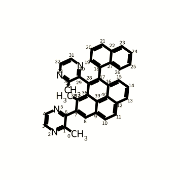 Cc1nccnc1-c1cc2ccc3cccc4c(-c5cccc6ccccc56)c(-c5nccnc5C)c(c1C)c2c34